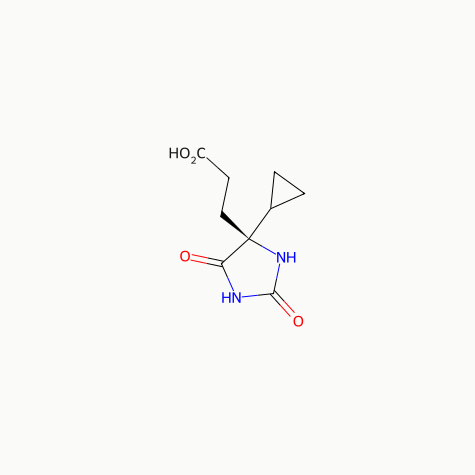 O=C(O)CC[C@@]1(C2CC2)NC(=O)NC1=O